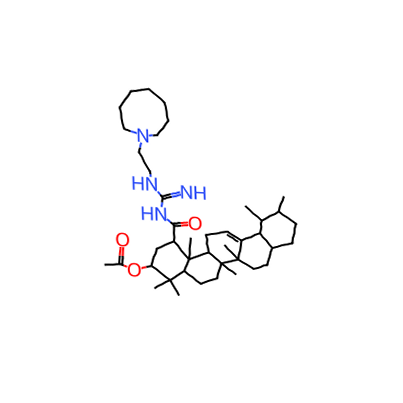 CC(=O)OC1CC(C(=O)NC(=N)NCCN2CCCCCCC2)C2(C)C(CCC3(C)C2CC=C2C4C(CCC(C)C4C)CCC23C)C1(C)C